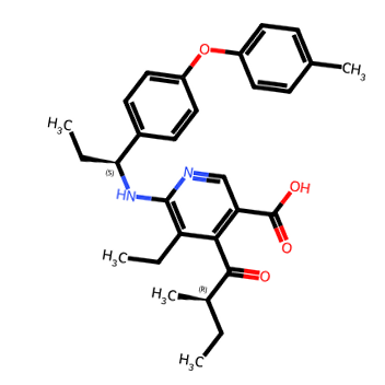 CCc1c(N[C@@H](CC)c2ccc(Oc3ccc(C)cc3)cc2)ncc(C(=O)O)c1C(=O)[C@H](C)CC